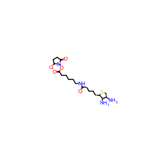 NC1CSC(CCCCC(=O)NCCCCCC(=O)ON2C(=O)CCC2=O)C1N